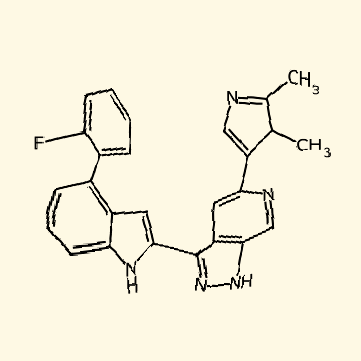 CC1=NC=C(c2cc3c(-c4cc5c(-c6ccccc6F)cccc5[nH]4)n[nH]c3cn2)C1C